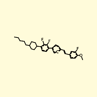 CCCCCC1CCC(c2ccc(-c3ccc(/C=C/c4ccc(OC)c(F)c4)cc3)c(F)c2F)CC1